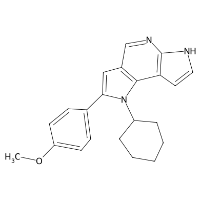 COc1ccc(-c2cc3cnc4[nH]ccc4c3n2C2CCCCC2)cc1